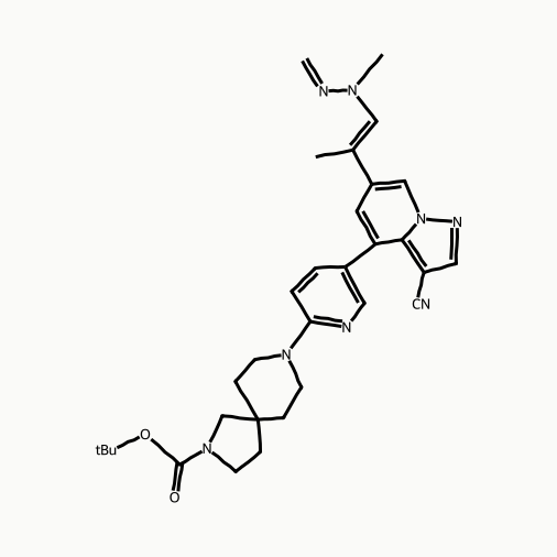 C=NN(C)/C=C(\C)c1cc(-c2ccc(N3CCC4(CCN(C(=O)OC(C)(C)C)C4)CC3)nc2)c2c(C#N)cnn2c1